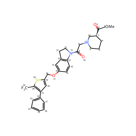 COC(=O)[C@H]1CCCN(CC(=O)N2CCc3cc(OCc4cc(-c5ccccc5)c(C(F)(F)F)s4)ccc32)C1